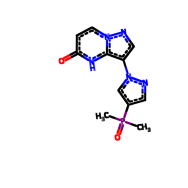 CP(C)(=O)c1cnn(-c2cnn3ccc(=O)[nH]c23)c1